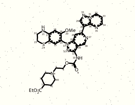 CCOC(=O)C1CCN(CCOC(=O)Nc2nn(-c3cc4c(cc3OC)NCCS4)c3cc(-c4cnn5cccnc45)ncc23)CC1